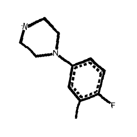 Cc1cc(N2CC[N]CC2)ccc1F